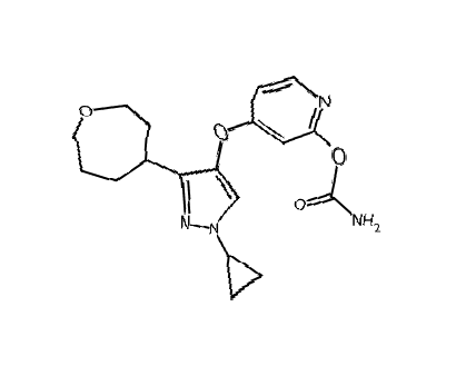 NC(=O)Oc1cc(Oc2cn(C3CC3)nc2C2CCCOCC2)ccn1